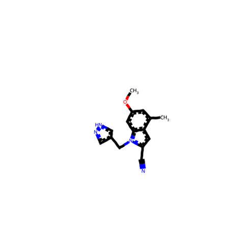 COc1cc(C)c2cc(C#N)n(Cc3cn[nH]c3)c2c1